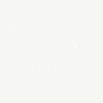 C[As](C)Cc1cc(C[As](C)C)c(O)c(C[As](C)C)c1